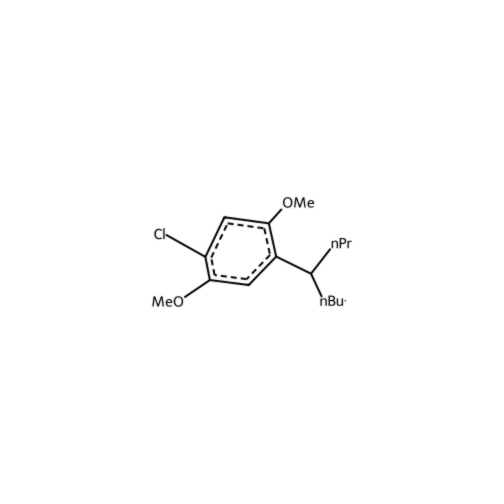 CCC[CH]C(CCC)c1cc(OC)c(Cl)cc1OC